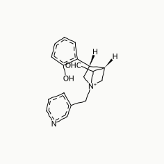 O=CC1[C@H]2C[N+]1(Cc1cccnc1)C[C@@H]2c1ccccc1O